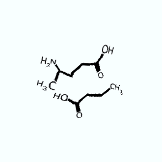 CC(N)CCC(=O)O.CCCC(=O)O